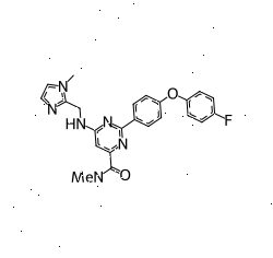 CNC(=O)c1cc(NCc2nccn2C)nc(-c2ccc(Oc3ccc(F)cc3)cc2)n1